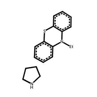 C1CCNC1.CCN1c2ccccc2Sc2ccccc21